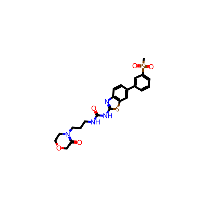 CS(=O)(=O)c1cccc(-c2ccc3nc(NC(=O)NCCCN4CCOCC4=O)sc3c2)c1